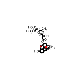 C[C@H](OC(=O)[C@@H](O)CC(=O)OC1=CC[C@@]2(O)[C@H]3Cc4ccc(O)c5c4[C@@]2(CCN3C)[C@H]1O5)C(=O)O[C@@H](CC(=O)O)C(=O)O